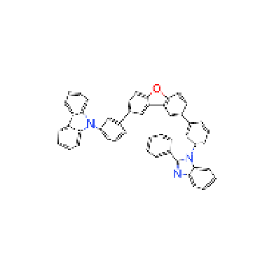 c1ccc(-c2nc3ccccc3n2-c2cccc(-c3ccc4oc5ccc(-c6cccc(-n7c8ccccc8c8ccccc87)c6)cc5c4c3)c2)cc1